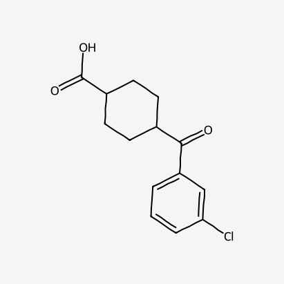 O=C(O)C1CCC(C(=O)c2cccc(Cl)c2)CC1